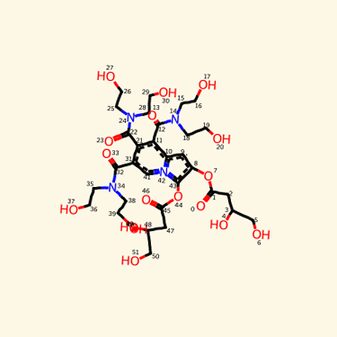 O=C(CC(O)CO)Oc1[c]c2c(C(=O)N(CCO)CCO)c(C(=O)N(CCO)CCO)c(C(=O)N(CCO)CCO)cn2c1OC(=O)CC(O)CO